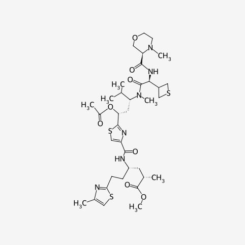 COC(=O)[C@@H](C)C[C@H](CCc1nc(C)cs1)NC(=O)c1csc([C@@H](C[C@H](C(C)C)N(C)C(=O)[C@@H](NC(=O)[C@H]2COCCN2C)C2CSC2)OC(C)=O)n1